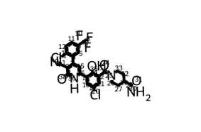 N#Cc1c(-c2cc(C(F)(F)F)ccc2Cl)cc(-c2cc(Cl)cc(C(=O)N3CCC(C(N)=O)CC3)c2O)[nH]c1=O